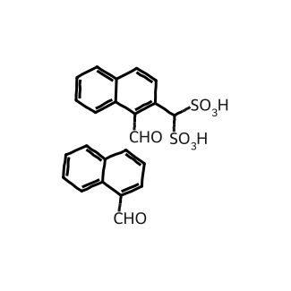 O=Cc1c(C(S(=O)(=O)O)S(=O)(=O)O)ccc2ccccc12.O=Cc1cccc2ccccc12